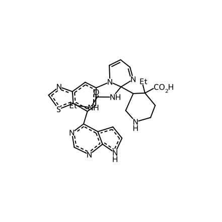 CCNC(=O)NC1(C2CNCCC2(CC)C(=O)O)N=CC=CN1c1cc(-c2ncnc3[nH]ccc23)c2scnc2c1